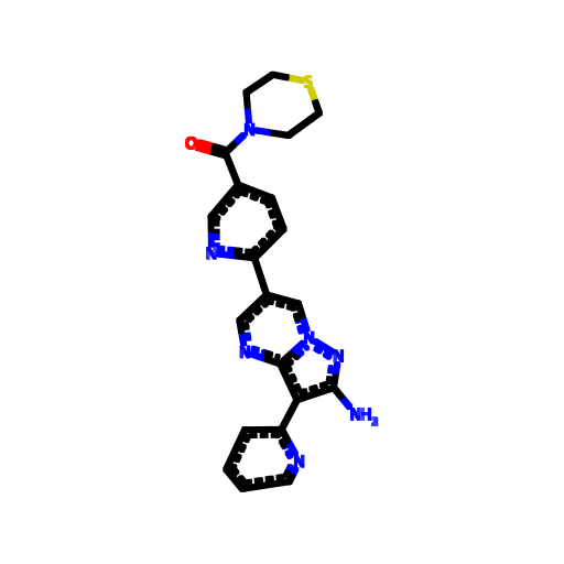 Nc1nn2cc(-c3ccc(C(=O)N4CCSCC4)cn3)cnc2c1-c1ccccn1